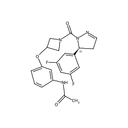 CC(=O)Nc1cccc(OC2CN(C(=O)N3N=CC[C@H]3c3cc(F)cc(F)c3)C2)c1